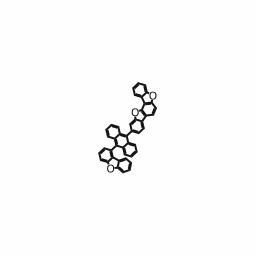 c1ccc2c(c1)oc1cccc(-c3c4ccccc4c(-c4ccc5c(c4)oc4c5ccc5oc6ccccc6c54)c4ccccc34)c12